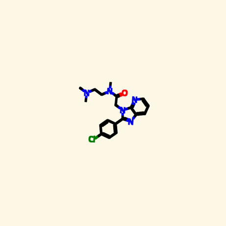 CN(C)CCN(C)C(=O)Cn1c(-c2ccc(Cl)cc2)nc2cccnc21